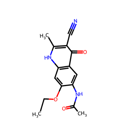 CCOc1cc2[nH]c(C)c(C#N)c(=O)c2cc1NC(C)=O